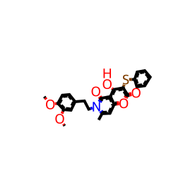 COc1ccc(CCn2c(C)cc3oc(=O)c(Sc4ccccc4)c(O)c3c2=O)cc1OC